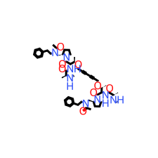 CN[C@@H](C)C(=O)N[C@H](C(=O)N1CCC[C@H]1CN(CCc1ccccc1)C(C)=O)[C@@H](C)OCC#CC#CCO[C@H](C)[C@H](NC(=O)[C@H](C)NC)C(=O)N1CCC[C@H]1CN(CCc1ccccc1)C(C)=O